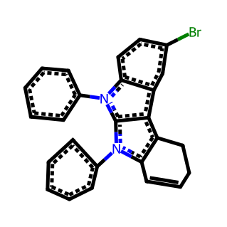 Brc1ccc2c(c1)c1c3c(n(-c4ccccc4)c1n2-c1ccccc1)C=CCC3